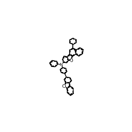 c1ccc(-c2cc3c4ccc(N(c5ccccc5)c5ccc(-c6ccc7c(c6)oc6ccccc67)cc5)cc4oc3c3ccccc23)cc1